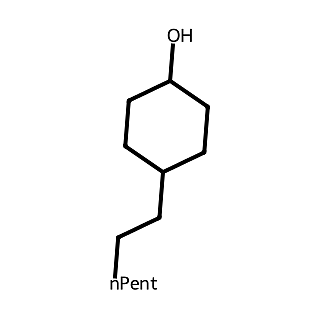 CCCCCCCC1CCC(O)CC1